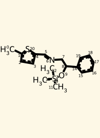 Cc1ccc(C=NCC(O[Si](C)(C)C)c2ccccc2)s1